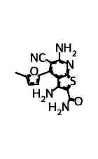 Cc1ccc(-c2c(C#N)c(N)nc3sc(C(N)=O)c(N)c23)o1